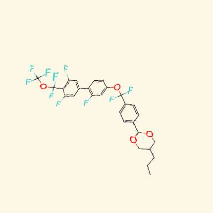 CCCC1COC(c2ccc(C(F)(F)Oc3ccc(-c4cc(F)c(C(F)(F)OC(F)(F)F)c(F)c4)c(F)c3)cc2)OC1